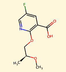 CO[C@@H](C)COc1ncc(F)cc1C(=O)O